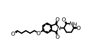 O=CCCCCOc1ccc2c(c1)C(=O)N(C1CCC(=O)NC1=O)C2=O